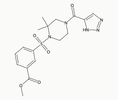 COC(=O)c1cccc(S(=O)(=O)N2CCN(C(=O)c3cnn[nH]3)CC2(C)C)c1